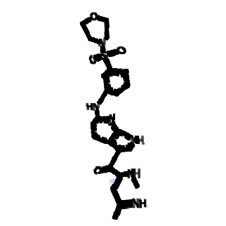 CN/C(=C\C(C)=N)C(=O)c1c[nH]c2nc(Nc3cccc(S(=O)(=O)N4CCOCC4)c3)ccc12